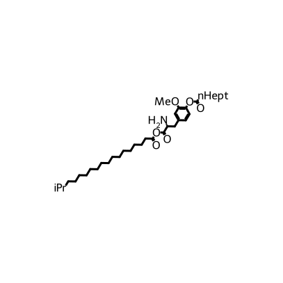 CCCCCCCC(=O)Oc1ccc(C[C@H](N)C(=O)OC(=O)CCCCCCCCCCCCCCCC(C)C)cc1OC